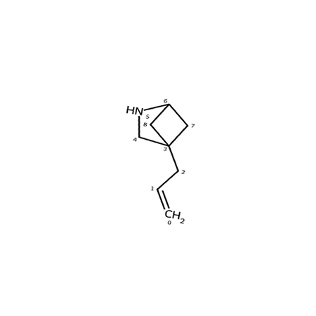 C=CCC12CNC(C1)C2